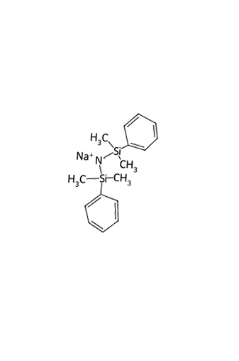 C[Si](C)([N-][Si](C)(C)c1ccccc1)c1ccccc1.[Na+]